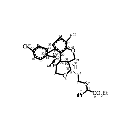 CCOC(=O)C(SCC[C@@H]1OCC[C@@]2(S(=O)(=O)c3ccc(Cl)cc3)c3c(F)ccc(F)c3OC[C@@H]12)C(C)C